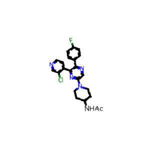 CC(=O)NC1CCN(c2cnc(-c3ccc(F)cc3)c(-c3ccncc3Cl)n2)CC1